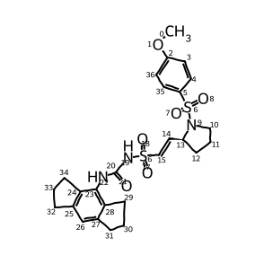 COc1ccc(S(=O)(=O)N2CCC[C@H]2/C=C/S(=O)(=O)NC(=O)Nc2c3c(cc4c2CCC4)CCC3)cc1